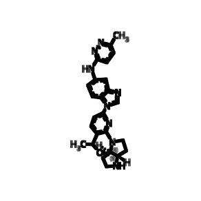 Cc1ccc(Nc2ccc3c(c2)ncn3-c2ccc(C(C)O)c(N3CC[C@@H]4NCC[C@H]43)n2)nn1